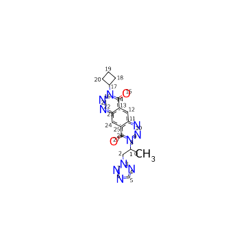 CC(Cn1ncnn1)n1nnc2cc3c(=O)n(C4CCC4)nnc3cc2c1=O